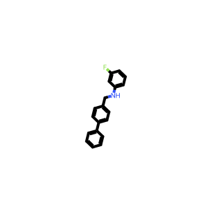 Fc1cccc(NCc2ccc(-c3ccccc3)cc2)c1